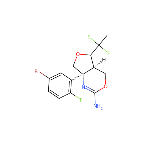 CC(F)(F)C1OC[C@]2(c3cc(Br)ccc3F)N=C(N)OC[C@H]12